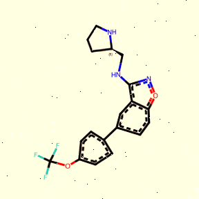 FC(F)(F)Oc1ccc(-c2ccc3onc(NC[C@H]4CCCN4)c3c2)cc1